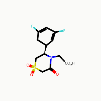 O=C(O)CN1C(=O)CS(=O)(=O)C[C@H]1C1C=C(F)C=C(F)C1